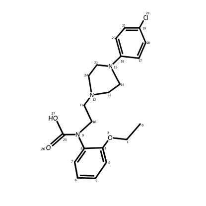 CCOc1ccccc1N(CCN1CCN(c2ccc(Cl)cc2)CC1)C(=O)O